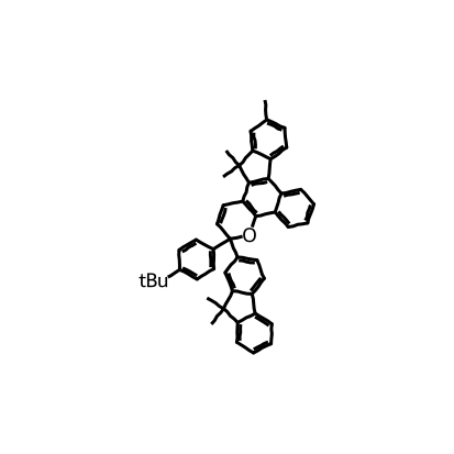 Cc1ccc2c(c1)C(C)(C)c1c3c(c4ccccc4c1-2)OC(c1ccc(C(C)(C)C)cc1)(c1ccc2c(c1)C(C)(C)c1ccccc1-2)C=C3